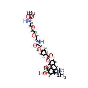 CCN(C)[C@@H]1Cc2ccc(OC(=O)c3ccc(OCC(=O)NCCOCCOCCNC(=O)OC(C)(C)C)cc3)c3c2C2[C@H]1C=C[C@H](O)[C@@H]2O3